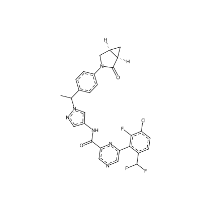 CC(c1ccc(N2C[C@H]3C[C@H]3C2=O)cc1)n1cc(NC(=O)c2cncc(-c3c(C(F)F)ccc(Cl)c3F)n2)cn1